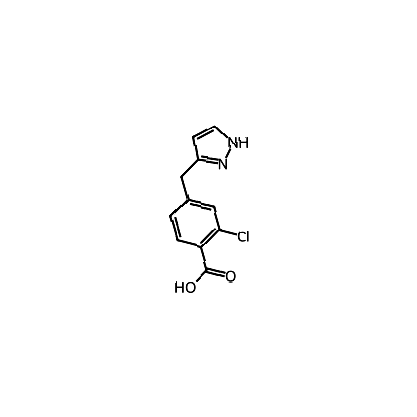 O=C(O)c1ccc(Cc2cc[nH]n2)cc1Cl